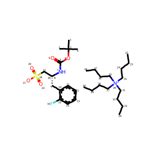 CC(C)(C)OC(=O)N[C@H](Cc1ccccc1F)CS(=O)(=O)[O-].CCCC[N+](CCCC)(CCCC)CCCC